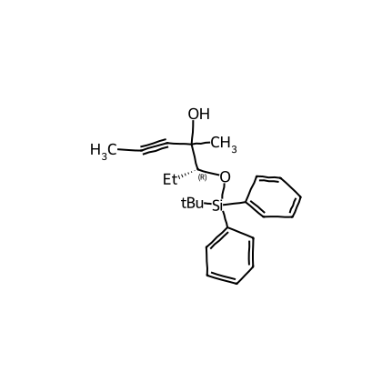 CC#CC(C)(O)[C@@H](CC)O[Si](c1ccccc1)(c1ccccc1)C(C)(C)C